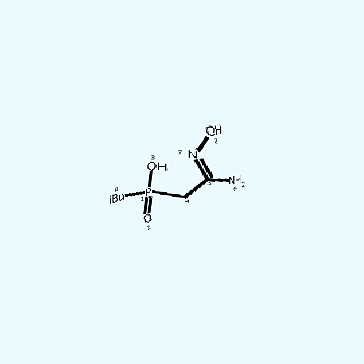 CCC(C)P(=O)(O)CC(N)=NO